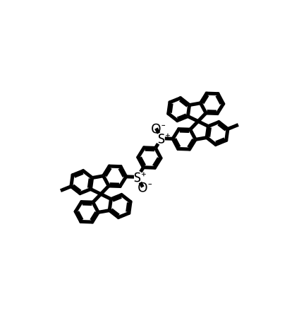 Cc1ccc2c(c1)C1(c3ccccc3-c3ccccc31)c1cc([S+]([O-])c3ccc([S+]([O-])c4ccc5c(c4)C4(c6ccccc6-c6ccccc64)c4cc(C)ccc4-5)cc3)ccc1-2